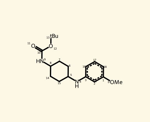 COc1[c]c(NC2CCC(NC(=O)OC(C)(C)C)CC2)ccc1